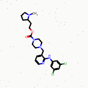 CN1CCCC1CCOC(=O)N1CCN(Cc2cccnc2Nc2cc(Cl)cc(Cl)c2)CC1